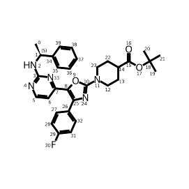 C[C@H](Nc1nccc(-c2oc(N3CCC(C(=O)OC(C)(C)C)CC3)nc2-c2ccc(F)cc2)n1)c1ccccc1